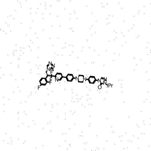 CC(C)n1ncn(-c2ccc(N3CCN(c4ccc(-c5ccc(C(F)(F)[C@H](Cn6cnnn6)c6ccc(F)cc6F)nc5)cc4)CC3)cc2)c1=O